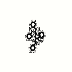 O=c1c2ccccc2nc2c3ccccc3n(-c3nc(-c4ccccc4)nc4oc5ccccc5c34)c(=O)n12